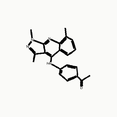 CC(=O)c1ccc(Nc2c3cccc(C)c3nc3c2c(C)nn3C)cc1